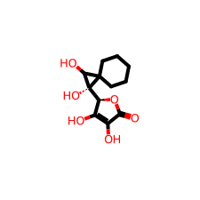 O=C1O[C@H]([C@@]2(O)C(O)C23CCCCC3)C(O)=C1O